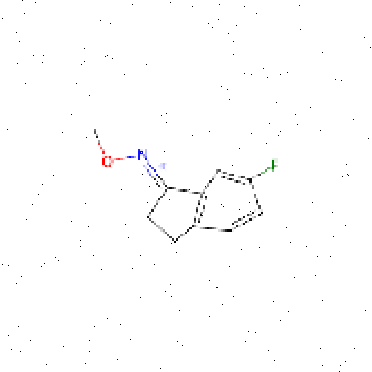 CO/N=C1\CCc2ccc(F)cc21